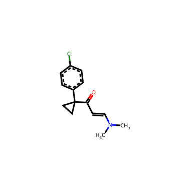 CN(C)C=CC(=O)C1(c2ccc(Cl)cc2)CC1